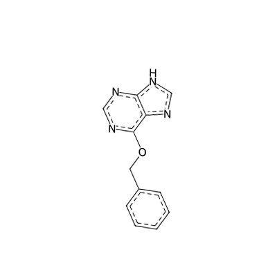 c1ccc(COc2ncnc3[nH]cnc23)cc1